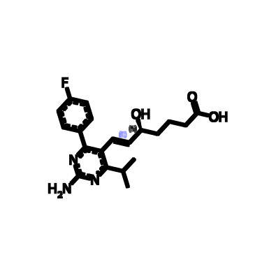 CC(C)c1nc(N)nc(-c2ccc(F)cc2)c1/C=C/[C@@H](O)CCCC(=O)O